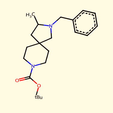 CC1CC2(CCN(C(=O)OC(C)(C)C)CC2)CN1Cc1ccccc1